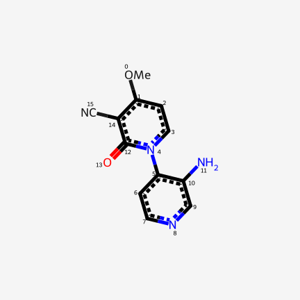 COc1ccn(-c2ccncc2N)c(=O)c1C#N